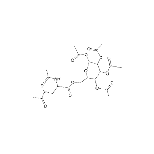 CC(=O)NC(CSC(C)=O)C(=O)OCC1OC(OC(C)=O)C(OC(C)=O)C(OC(C)=O)C1OC(C)=O